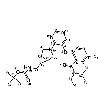 CCN(C(=O)c1cc(F)ccc1Oc1cncnc1N1CC2C(CNC(=O)OC(C)(C)C)C2C1)C(C)C